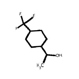 CC(O)C1CCC(C(F)(F)F)CC1